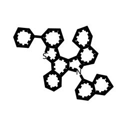 c1ccc(-c2cccc3c2sc2c4ccccc4c4c(c32)c2c3ccccc3ccc2n4-c2cccc3ccccc23)cc1